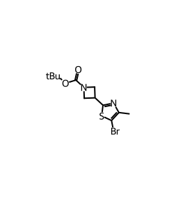 Cc1nc(C2CN(C(=O)OC(C)(C)C)C2)sc1Br